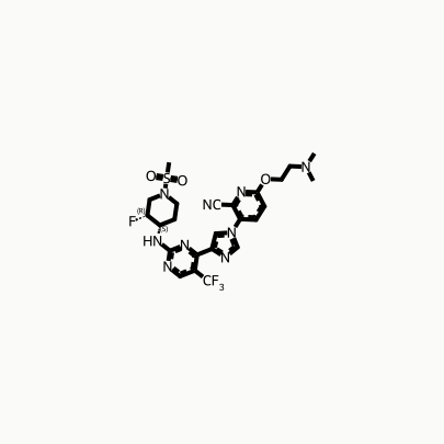 CN(C)CCOc1ccc(-n2cnc(-c3nc(N[C@H]4CCN(S(C)(=O)=O)C[C@H]4F)ncc3C(F)(F)F)c2)c(C#N)n1